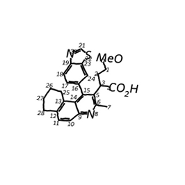 COCCC(C(=O)O)c1c(C)nc2ccc3c(c2c1-c1ccc2ncsc2c1)CCCC3